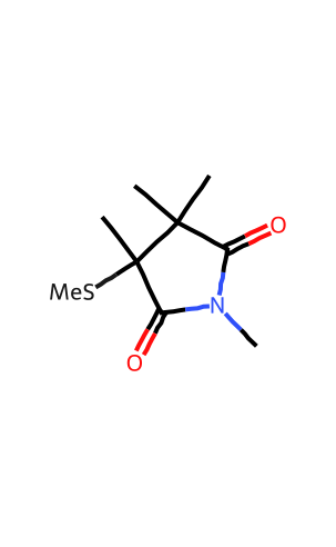 CSC1(C)C(=O)N(C)C(=O)C1(C)C